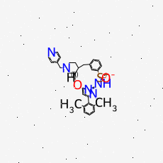 Cc1cccc(C)c1-c1cc2nc(n1)N[S+]([O-])c1cccc(c1)CC1CCN(Cc3ccncc3)C[C@@H]1CO2